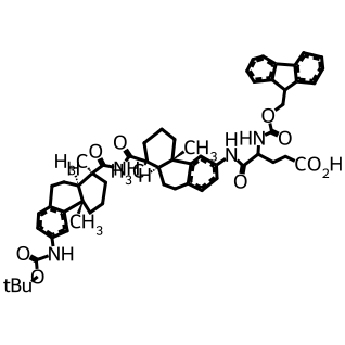 CC(C)(C)OC(=O)Nc1ccc2c(c1)[C@@]1(C)CCC[C@](C)(C(=O)NC(=O)[C@@]3(C)CCC[C@]4(C)c5cc(NC(=O)C(CCC(=O)O)NC(=O)OCC6c7ccccc7-c7ccccc76)ccc5CC[C@@H]34)[C@@H]1CC2